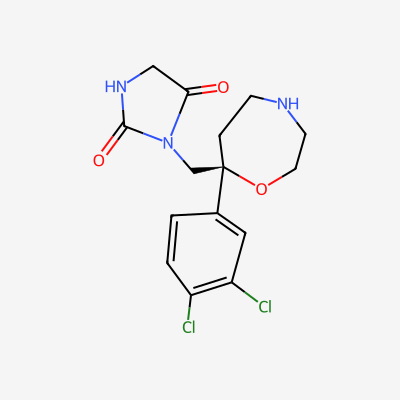 O=C1CNC(=O)N1C[C@@]1(c2ccc(Cl)c(Cl)c2)CCNCCO1